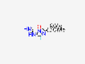 COc1ccc(-c2cc(=O)n3cc(NC4CCNCC4)cc(F)c3n2)cc1OC